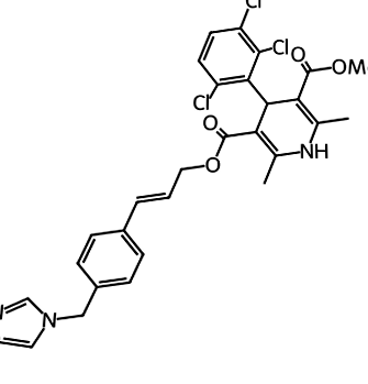 COC(=O)C1=C(C)NC(C)=C(C(=O)OC/C=C/c2ccc(Cn3ccnc3)cc2)C1c1c(Cl)ccc(Cl)c1Cl